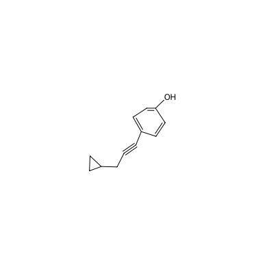 Oc1ccc(C#CCC2CC2)cc1